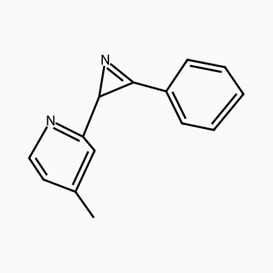 Cc1ccnc(C2N=C2c2ccccc2)c1